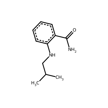 CC(C)CNc1ccccc1C(N)=O